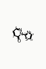 O=c1cccnn1-c1nccs1